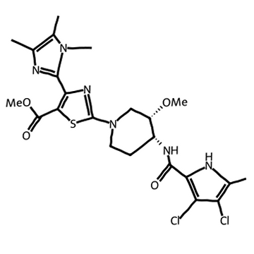 COC(=O)c1sc(N2CC[C@@H](NC(=O)c3[nH]c(C)c(Cl)c3Cl)[C@@H](OC)C2)nc1-c1nc(C)c(C)n1C